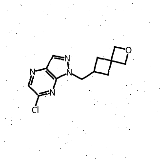 Clc1cnc2cnn(CC3CC4(COC4)C3)c2n1